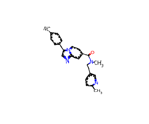 Cc1ccc(CN(C)C(=O)c2ccn3c(-c4ccc(C#N)cc4)cnc3c2)cn1